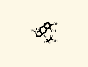 CCCN1CC[C@H]2Cc3c(ccc(O)c3O)C[C@H]21.O=C(O)C(F)(F)F